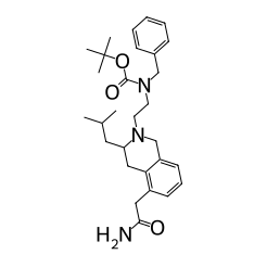 CC(C)CC1Cc2c(CC(N)=O)cccc2CN1CCN(Cc1ccccc1)C(=O)OC(C)(C)C